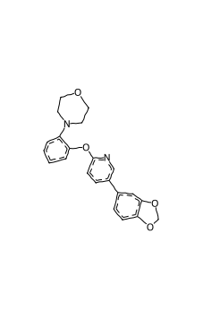 c1ccc(N2CCOCC2)c(Oc2ccc(-c3ccc4c(c3)OCO4)cn2)c1